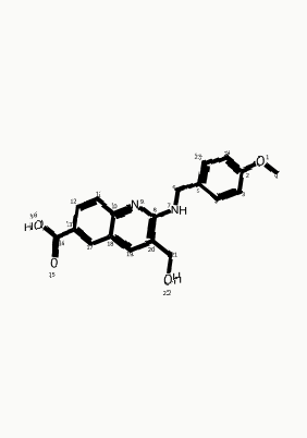 COc1ccc(CNc2nc3ccc(C(=O)O)cc3cc2CO)cc1